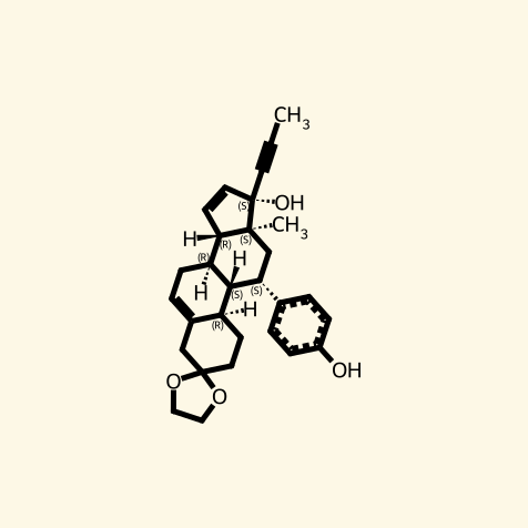 CC#C[C@]1(O)C=C[C@H]2[C@@H]3CC=C4CC5(CC[C@@H]4[C@H]3[C@@H](c3ccc(O)cc3)C[C@@]21C)OCCO5